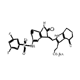 CCOC(=O)CCc1c(/C=C2\C(=O)Nc3ccc(NS(=O)(=O)c4cc(F)cc(F)c4)cc32)[nH]c2c1C(=O)CCC2